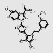 COc1cccc(CCn2nc(C)c(O)c2-c2n[nH]c(-n3nc(C(N)=O)c4cc(C)ncc43)n2)c1